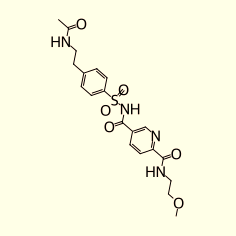 COCCNC(=O)c1ccc(C(=O)NS(=O)(=O)c2ccc(CCNC(C)=O)cc2)cn1